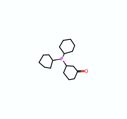 O=C1CCCC(P(C2CCCCC2)C2CCCCC2)C1